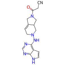 N#CCC(=O)N1CC2=CCN(Nc3ncnc4[nH]ccc34)CC2C1